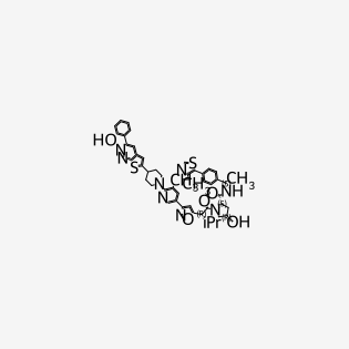 Cc1cc(-c2cc([C@H](C(=O)N3C[C@H](O)C[C@H]3C(=O)N[C@@H](C)c3ccc(-c4scnc4C)cc3)C(C)C)on2)cnc1N1CCC(c2cc3cc(-c4ccccc4O)nnc3s2)CC1